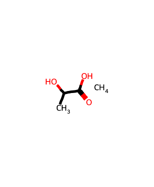 C.CC(O)C(=O)O